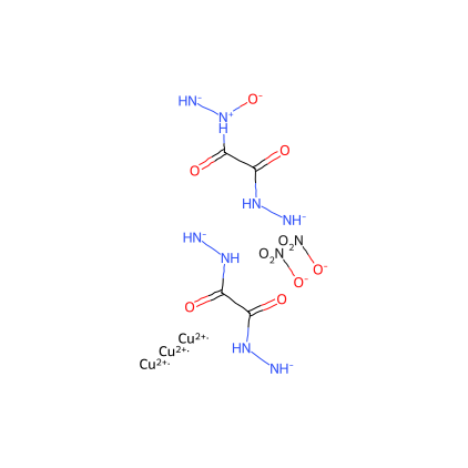 O=[N+]([O-])[O-].O=[N+]([O-])[O-].[Cu+2].[Cu+2].[Cu+2].[NH-]NC(=O)C(=O)N[NH-].[NH-]NC(=O)C(=O)[NH+]([NH-])[O-]